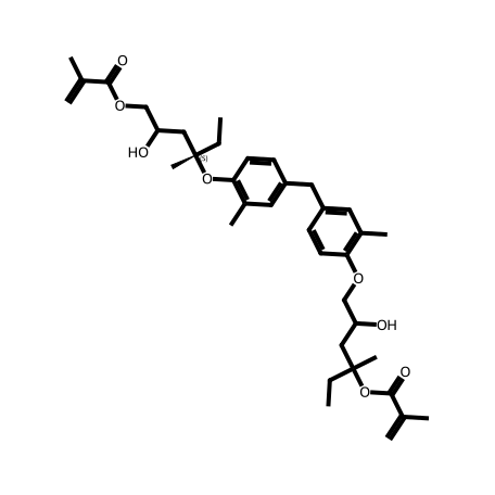 C=C(C)C(=O)OCC(O)C[C@](C)(CC)Oc1ccc(Cc2ccc(OCC(O)CC(C)(CC)OC(=O)C(=C)C)c(C)c2)cc1C